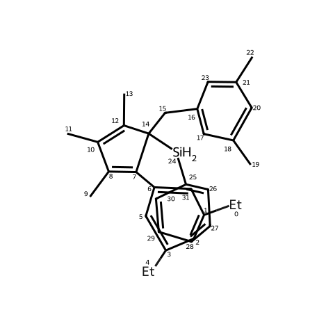 CCc1cc(CC)cc(C2=C(C)C(C)=C(C)C2(Cc2cc(C)cc(C)c2)[SiH2]c2ccccc2)c1